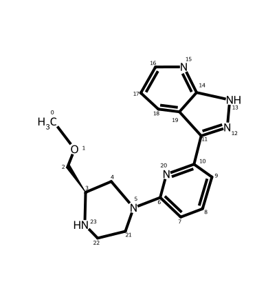 COC[C@H]1CN(c2cccc(-c3n[nH]c4ncccc34)n2)CCN1